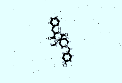 CCN1C(=O)C(Cc2ccccc2)NC(=O)C12CCN(Cc1ccc(Cl)cc1)CC2